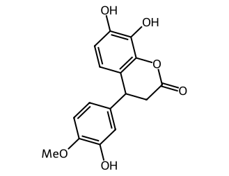 COc1ccc(C2CC(=O)Oc3c2ccc(O)c3O)cc1O